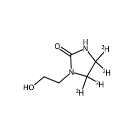 [2H]C1([2H])NC(=O)N(CCO)C1([2H])[2H]